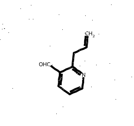 C=CCc1ncccc1C=O